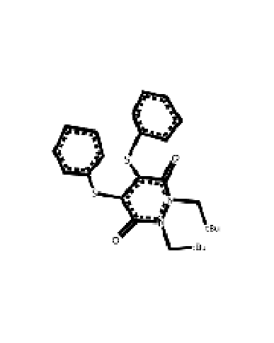 CC(C)(C)Cn1c(=O)c(Sc2ccccc2)c(Sc2ccccc2)c(=O)n1CC(C)(C)C